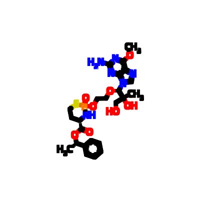 COc1nc(N)nc2c1ncn2[C@H](OCCOP1(=O)N[C@H](C(=O)O[C@@H](C)c2ccccc2)CCS1)[C@](C)(O)CO